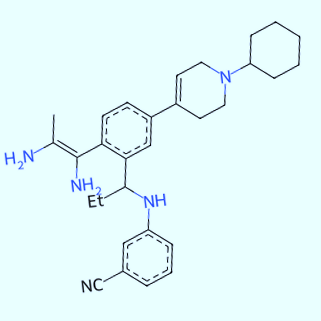 CCC(Nc1cccc(C#N)c1)c1cc(C2=CCN(C3CCCCC3)CC2)ccc1/C(N)=C(\C)N